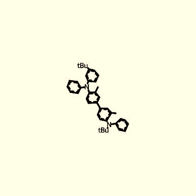 Cc1cc(-c2ccc(N(c3ccccc3)C(C)(C)C)c(C)c2)ccc1N(c1ccccc1)c1cccc(C(C)(C)C)c1